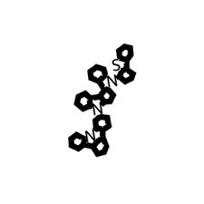 c1ccc2c(c1)sc1c(-n3c4ccccc4c4c5c6ccccc6n(-c6ccc7c8cccc9c%10ccccc%10n(c7c6)c98)c5ccc43)cccc12